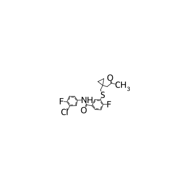 CC(=O)CC1(CSc2cc(C(=O)Nc3ccc(F)c(Cl)c3)ccc2F)CC1